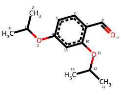 CC(C)Oc1ccc(C=O)c(OC(C)C)c1